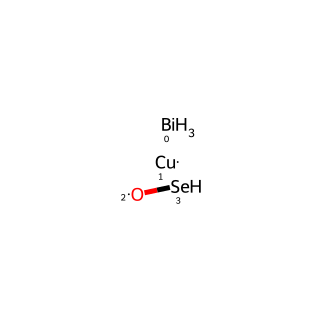 [BiH3].[Cu].[O][SeH]